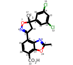 Cc1nc2c(C3=NOC(c4cc(Cl)cc(Cl)c4)(C(F)(F)F)C3)ccc(C(=O)O)c2o1